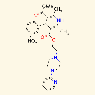 COC(=O)C1=C(C)NC(C)=C(C(=O)OCCN2CCN(c3ccccn3)CC2)C1c1cccc([N+](=O)[O-])c1